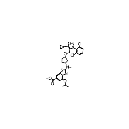 CC(C)Oc1cc(C(=O)O)cc2sc(N(C)[C@@H]3CC[C@H](OCc4c(-c5c(Cl)cccc5Cl)noc4C4CC4)C3)nc12